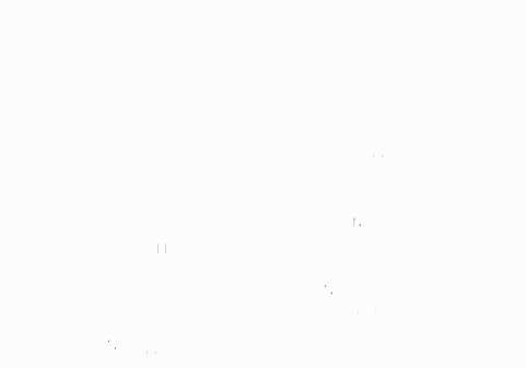 Cc1cnoc1-c1ccc2c(c1)c1cc(-c3ccc(Cl)cc3Cl)c(=O)n(C)c1n2C